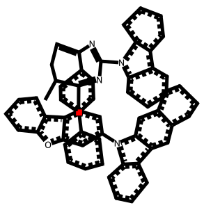 CC1C/C=C(c2ccc(-c3ccccc3)cc2)/N=C(n2c3ccccc3c3ccccc32)\N=C/1c1cc(-n2c3ccccc3c3cc4ccccc4cc32)cc2oc3ccccc3c12